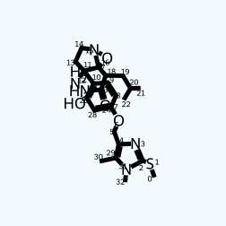 CSc1nc(COc2ccc(C3(N)CCN4OC43C(CC(C)C)C(=O)NO)cc2)c(C)n1C